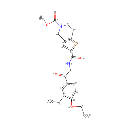 CC(=O)OCc1cc(C(=O)CNC(=O)c2cc3c(s2)CCN(C(=O)OC(C)(C)C)C3)ccc1OCC(=O)O